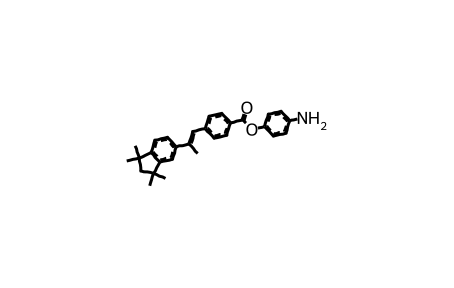 CC(=Cc1ccc(C(=O)Oc2ccc(N)cc2)cc1)c1ccc2c(c1)C(C)(C)CC2(C)C